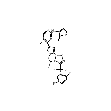 Cc1cnc(Nc2ccnn2C)nc1-c1cc2n(c1)C[C@H](C)n1c-2nnc1C(F)(F)c1cc(F)ccc1F